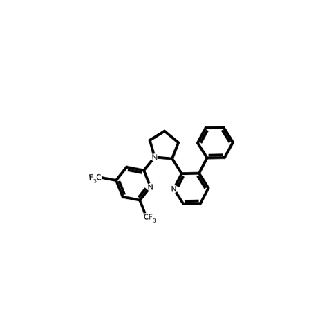 FC(F)(F)c1cc(N2CCCC2c2ncccc2-c2ccccc2)nc(C(F)(F)F)c1